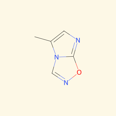 Cc1cnc2oncn12